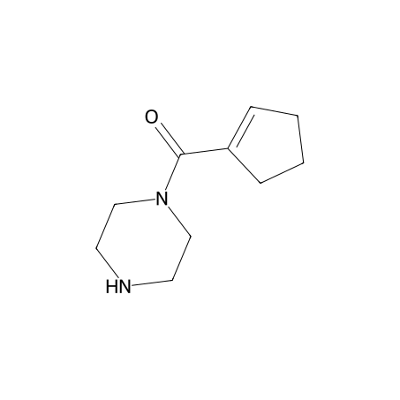 O=C(C1=CCCC1)N1CCNCC1